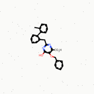 Cc1ccccc1-c1ccccc1Cc1nc(O)c(OCc2ccccc2)c(C(=O)O)n1